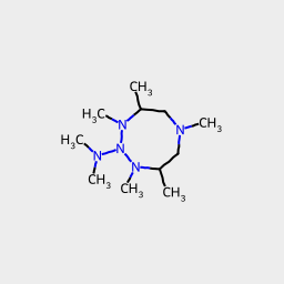 CC1CN(C)CC(C)N(C)N(N(C)C)N1C